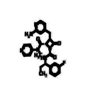 CC[C@@H](NC(=O)N1C(=O)C(Cc2ccnc(N)c2)[C@H]1C(=O)N(C)c1ccncc1)c1cccc(F)c1